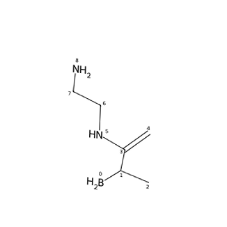 BC(C)C(=C)NCCN